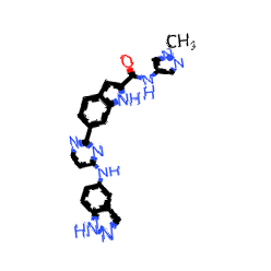 Cn1cc(NC(=O)c2cc3ccc(-c4nccc(Nc5ccc6[nH]ncc6c5)n4)cc3[nH]2)cn1